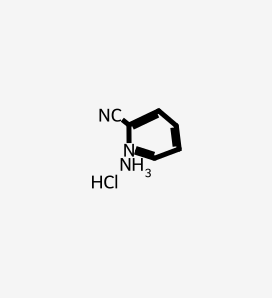 Cl.N.N#Cc1ccccn1